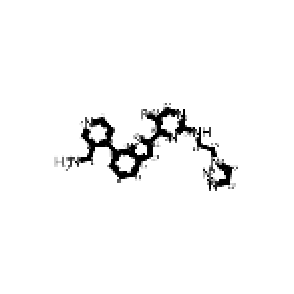 NCc1cnccc1-c1cccc2cc(-c3nc(NCCn4ccnn4)ncc3F)sc12